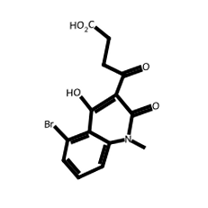 Cn1c(=O)c(C(=O)CCC(=O)O)c(O)c2c(Br)cccc21